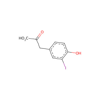 O=C(O)C(=O)Cc1ccc(O)c(I)c1